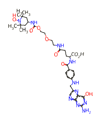 CC1(C)CC(NC(=O)OCCOCCNC(=O)CCC(NC(=O)c2ccc(NCc3cnc4nc(N)nc(O)c4n3)cc2)C(=O)O)CC(C)(C)N1O